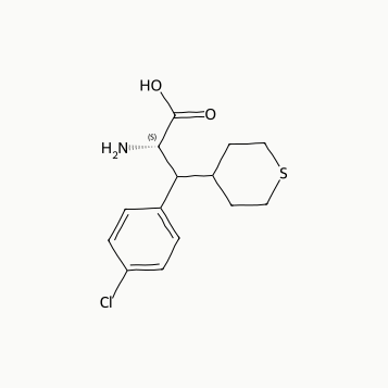 N[C@H](C(=O)O)C(c1ccc(Cl)cc1)C1CCSCC1